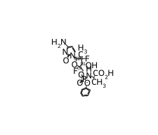 CC(N[P@](=O)(OC[C@@]1(F)O[C@@H](n2ccc(N)nc2=O)[C@](C)(F)[C@@H]1O)Oc1ccccc1)C(=O)O